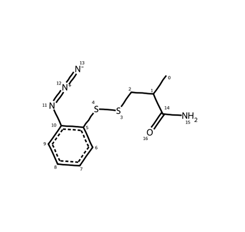 CC(CSSc1ccccc1N=[N+]=[N-])C(N)=O